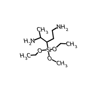 CCO[Si](OC)(OCC)C(CCN)C(C)N